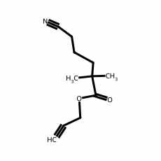 C#CCOC(=O)C(C)(C)CCCC#N